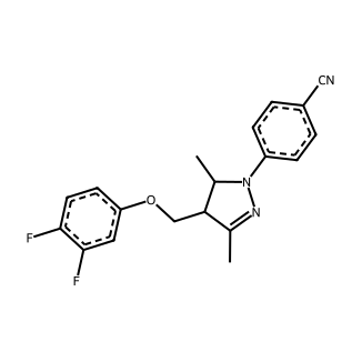 CC1=NN(c2ccc(C#N)cc2)C(C)C1COc1ccc(F)c(F)c1